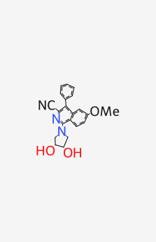 COc1ccc2c(N3CC(O)C(O)C3)nc(C#N)c(-c3ccccc3)c2c1